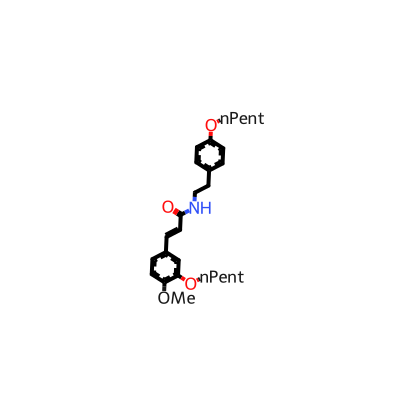 CCCCCOc1ccc(CCNC(=O)C=Cc2ccc(OC)c(OCCCCC)c2)cc1